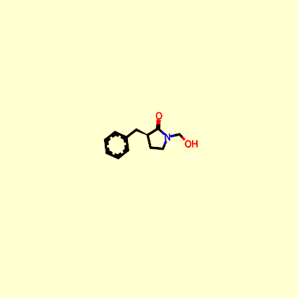 O=C1[C@H](Cc2ccccc2)CCN1CO